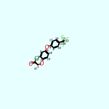 C[C@@H](Oc1ccc(Oc2ccc(C(F)(F)F)cc2)cc1)C(=O)Cl